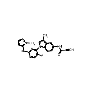 C#CC(=O)Nc1ccc2c(c1)c(C)cn2-c1nc(Nc2ccnn2C)ncc1F